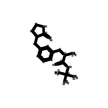 CN(Cc1cccc(CC2CCOC2=O)c1)C(=O)OC(C)(C)C